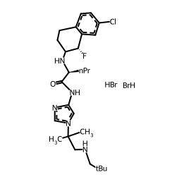 Br.Br.CCC[C@H](NC1CCc2ccc(Cl)cc2[C@@H]1F)C(=O)Nc1cn(C(C)(C)CNCC(C)(C)C)cn1